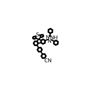 N#Cc1ccc(-c2ccc(-c3cccc4c3-c3ccc(C5=NC(c6ccccc6)NC(c6ccccc6)=N5)cc3C43c4ccccc4Sc4ccccc43)cc2)cc1